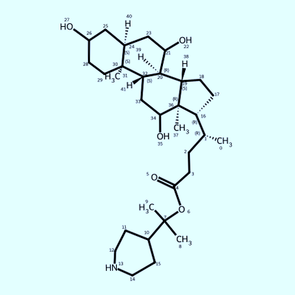 C[C@H](CCC(=O)OC(C)(C)C1CCNCC1)[C@H]1CC[C@H]2[C@@H]3C(O)C[C@@H]4CC(O)CC[C@]4(C)[C@H]3CC(O)[C@]12C